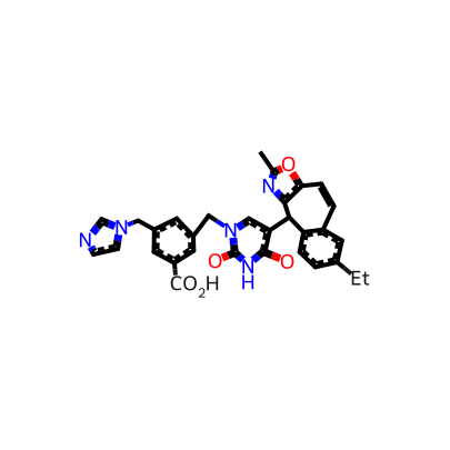 CCc1ccc2c(c1)C=Cc1oc(C)nc1C2c1cn(Cc2cc(Cn3ccnc3)cc(C(=O)O)c2)c(=O)[nH]c1=O